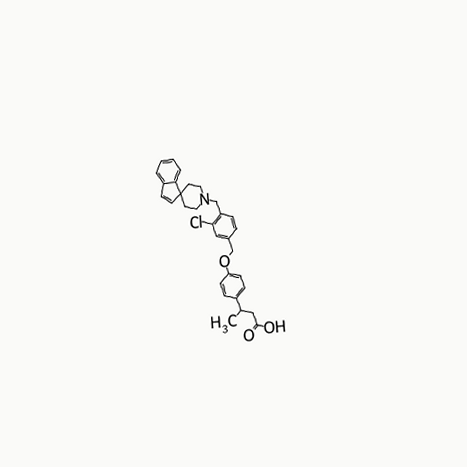 CC(CC(=O)O)c1ccc(OCc2ccc(CN3CCC4(C=Cc5ccccc54)CC3)c(Cl)c2)cc1